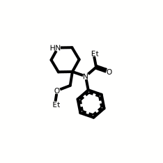 CCOCC1(N(C(=O)CC)c2ccccc2)CCNCC1